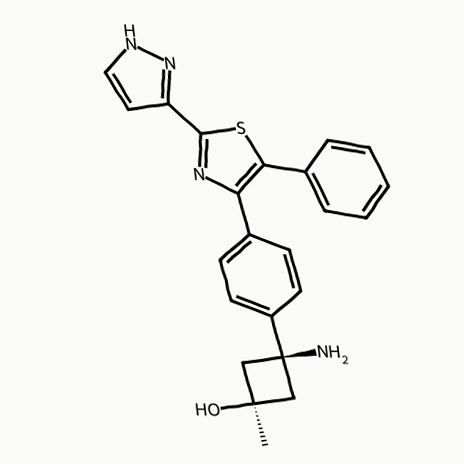 C[C@]1(O)C[C@](N)(c2ccc(-c3nc(-c4cc[nH]n4)sc3-c3ccccc3)cc2)C1